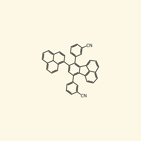 N#Cc1cccc(-c2cc(C3=C4C=CC=C5C=CC=C(C=C3)C54)c(-c3cccc(C#N)c3)c3c2-c2cccc4cccc-3c24)c1